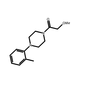 COCC(=O)N1CCN(c2ccccc2C)CC1